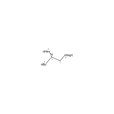 CCCCCCCC[SH](CCCC)CCCCCC